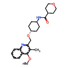 CCCCOc1c(C)c(CO[C@H]2CC[C@H](NC(=O)C3CCOCC3)CC2)nc2ccccc12